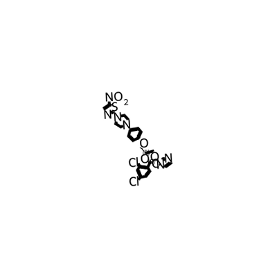 O=[N+]([O-])c1cnc(N2CCN(c3ccc(OC[C@@H]4CO[C@@](Cn5ccnc5)(c5ccc(Cl)cc5Cl)O4)cc3)CC2)s1